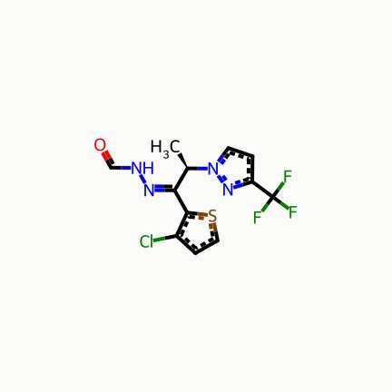 C[C@H](C(=NNC=O)c1sccc1Cl)n1ccc(C(F)(F)F)n1